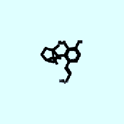 COc1c(O)ccc(C=CC(=O)O)c1C1CC2CCC1(C)C2(C)C